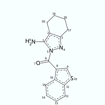 Nc1c2c(nn1C(=O)c1csc3ccccc13)CCCC2